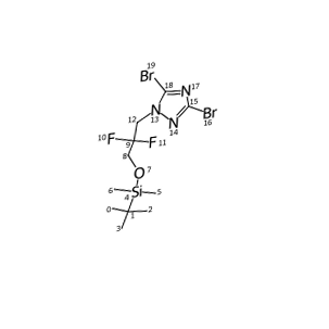 CC(C)(C)[Si](C)(C)OCC(F)(F)Cn1nc(Br)nc1Br